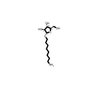 NCCCCCCCCO[C@H]1O[C@H](CO)[C@@H](O)[C@@H]1O